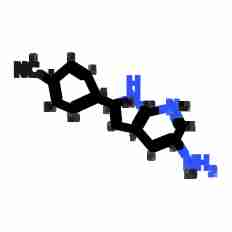 N#Cc1ccc(-c2cc3cc(N)cnc3[nH]2)cc1